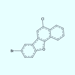 Clc1cc2c3cc(Br)ccc3oc2c2ccccc12